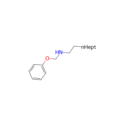 CCCCCCCCCNCOc1ccccc1